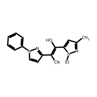 CCn1nc(C)cc1C(O)=C(C#N)c1ccn(-c2ccccc2)n1